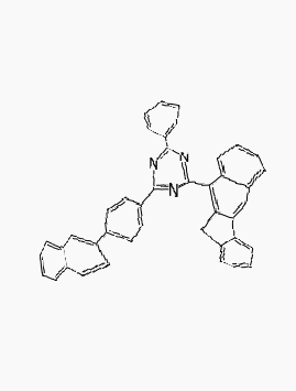 c1ccc(-c2nc(-c3ccc(-c4ccc5ccccc5c4)cc3)nc(-c3c4c(cc5ccccc35)-c3ccccc3C4)n2)cc1